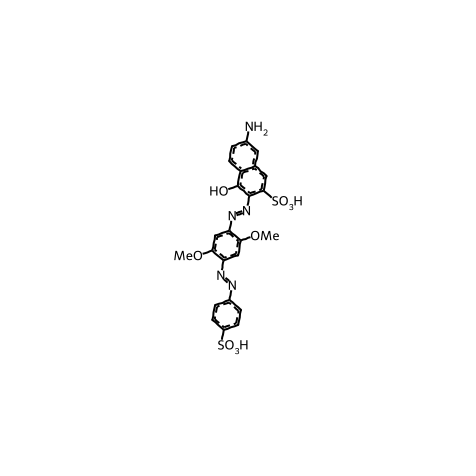 COc1cc(N=Nc2c(S(=O)(=O)O)cc3cc(N)ccc3c2O)c(OC)cc1N=Nc1ccc(S(=O)(=O)O)cc1